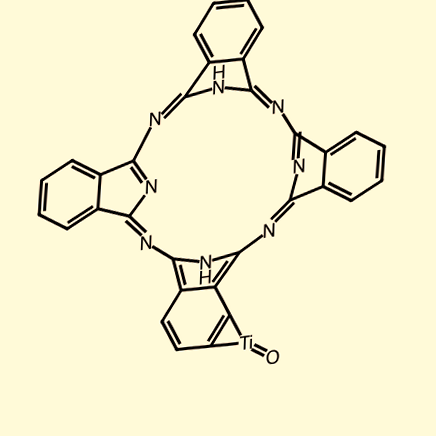 [O]=[Ti]1[c]2ccc3c4nc5nc(nc6[nH]c(nc7nc(nc([nH]4)c3[c]21)-c1ccccc1-7)c1ccccc61)-c1ccccc1-5